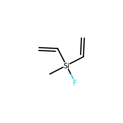 C=C[Si](C)(F)C=C